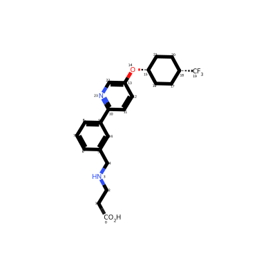 O=C(O)CCNCc1cccc(-c2ccc(O[C@H]3CC[C@@H](C(F)(F)F)CC3)cn2)c1